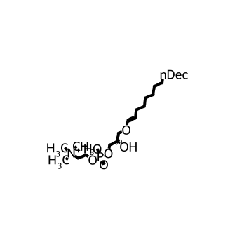 CCCCCCCCCCCCCCCCC=COC[C@@H](O)COP(=O)(O)OCC[N+](C)(C)C